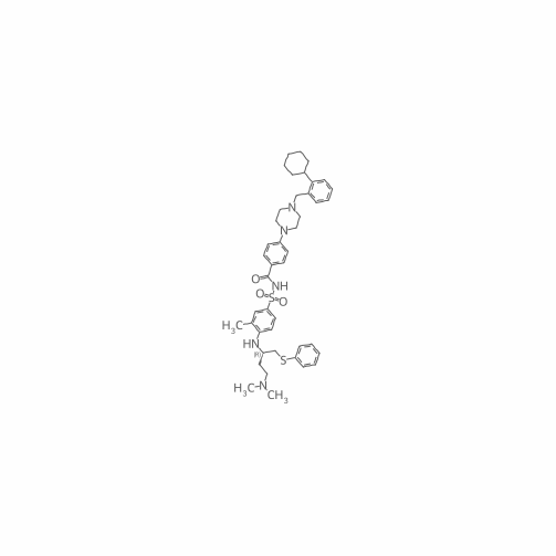 Cc1cc(S(=O)(=O)NC(=O)c2ccc(N3CCN(Cc4ccccc4C4CCCCC4)CC3)cc2)ccc1N[C@H](CCN(C)C)CSc1ccccc1